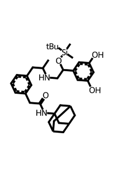 CC(Cc1cccc(CC(=O)NC23CC4CC(CC(C4)C2)C3)c1)NCC(O[Si](C)(C)C(C)(C)C)c1cc(O)cc(O)c1